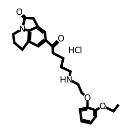 CCOc1ccccc1OCCNCCCCC(=O)c1cc2c3c(c1)CC(=O)N3CCC2.Cl